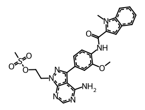 COc1cc(-c2nn(CCOS(C)(=O)=O)c3ncnc(N)c23)ccc1NC(=O)c1cc2ccccc2n1C